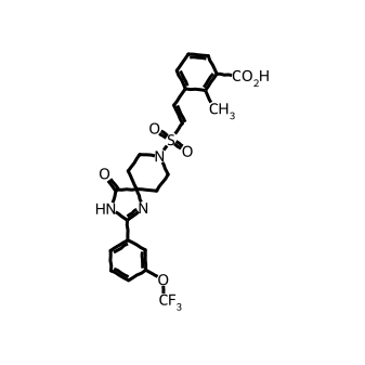 Cc1c(/C=C/S(=O)(=O)N2CCC3(CC2)N=C(c2cccc(OC(F)(F)F)c2)NC3=O)cccc1C(=O)O